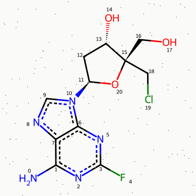 Nc1nc(F)nc2c1ncn2[C@H]1C[C@H](O)[C@](CO)(CCl)O1